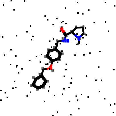 CN1CCCC1C(=O)NCc1ccc(OCc2ccccc2)cc1